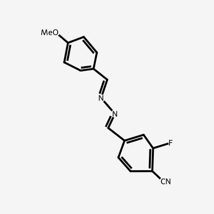 COc1ccc(C=NN=Cc2ccc(C#N)c(F)c2)cc1